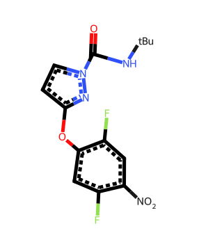 CC(C)(C)NC(=O)n1ccc(Oc2cc(F)c([N+](=O)[O-])cc2F)n1